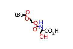 CC(C)(C)C(=O)OCCOC(=O)N[C@H](CO)C(=O)O